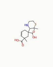 CC1(C(=O)O)C=CCC(C(=O)O)(C2NCCSC2(C)C)C1